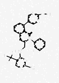 COc1ncc(-c2cccc3cc([C@H](C)Nc4nc(N)ncc4C(F)(F)F)n(-c4ccccc4)c(=O)c23)cn1